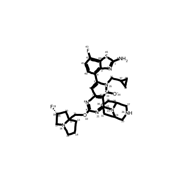 Nc1nc2c(C3=Cc4nc(OCC56CCCN5C[C@H](F)C6)nc(N5C6CNCC5COC6)c4[S+]([O-])N3CC3CC3)ccc(F)c2s1